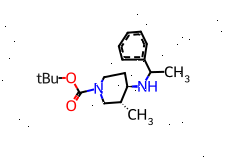 CC(N[C@@H]1CCN(C(=O)OC(C)(C)C)C[C@H]1C)c1ccccc1